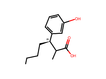 CCCC[C@@H](c1cccc(O)c1)C(C)C(=O)O